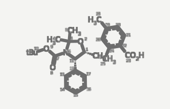 C[C@H]1OC(C)(C)N(C(=O)OC(C)(C)C)[C@H]1c1ccccc1.Cc1ccc(C(=O)O)c(C)c1